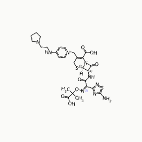 CC(C)(O/N=C(\C(=O)N[C@@H]1C(=O)N2C(C(=O)O)=C(C[n+]3ccc(NCCN4CCCC4)cc3)CS[C@H]12)c1nsc(N)n1)C(=O)O